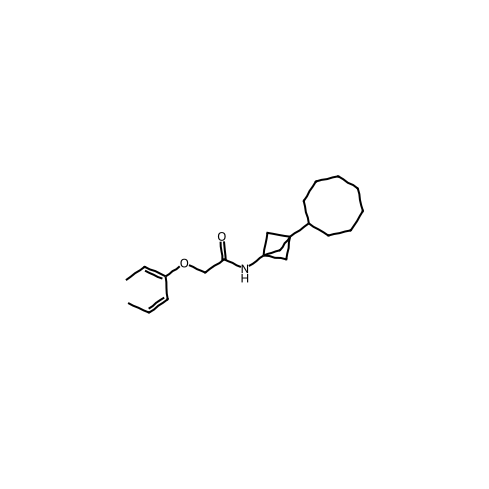 C/C=C\C(=C/C)OCC(=O)NC12CC(C3CCCCCCC3)(C1)C2